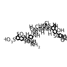 C=CS(=O)(=O)c1ccc(-c2c(S(=O)(=O)O)cc3c(Nc4nc(Cl)nc(NCC(C)Nc5nc(F)nc(Nc6ccc(N=Nc7cc8c(S(=O)(=O)O)cc(S(=O)(=O)O)cc8cc7S(=O)(=O)O)c(NC(N)=O)c6)n5)n4)c(S(=O)(=O)O)c4c(c3c2O)N=N4)cc1